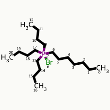 CCCCCCCP(Br)(CCCC)(CCCC)CCCC